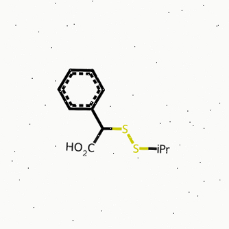 CC(C)SSC(C(=O)O)c1ccccc1